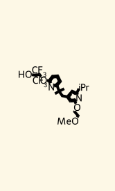 COCCOc1cc(CC(C)(C)c2cccc(OCC(O)(C(F)(F)F)C(F)(F)F)n2)cc(C(C)C)n1